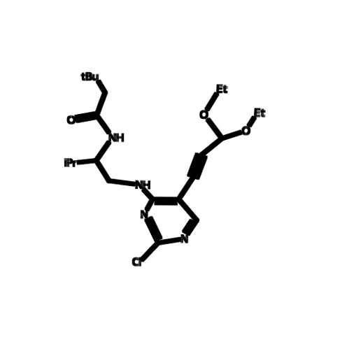 CCOC(C#Cc1cnc(Cl)nc1NCC(NC(=O)CC(C)(C)C)C(C)C)OCC